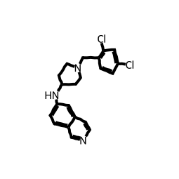 Clc1ccc(CN2CCC(Nc3ccc4cnccc4c3)CC2)c(Cl)c1